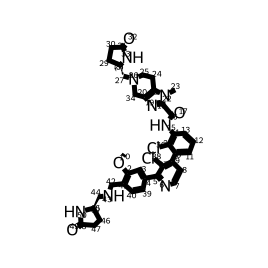 COc1cc(-c2nccc(-c3cccc(NC(=O)c4nc5c(n4C)CCN(C[C@@H]4CCC(=O)N4)C5)c3Cl)c2Cl)ccc1CNC[C@H]1CCC(=O)N1